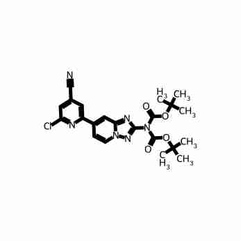 CC(C)(C)OC(=O)N(C(=O)OC(C)(C)C)c1nc2cc(-c3cc(C#N)cc(Cl)n3)ccn2n1